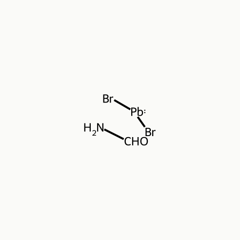 NC=O.[Br][Pb][Br]